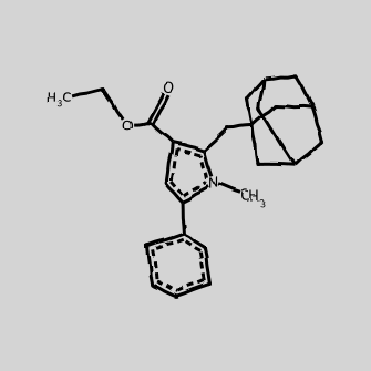 CCOC(=O)c1cc(-c2ccccc2)n(C)c1CC12CC3CC(CC(C3)C1)C2